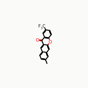 Cc1ccc2cc3c(=O)c4cc(C(F)(F)F)ccc4oc3cc2c1